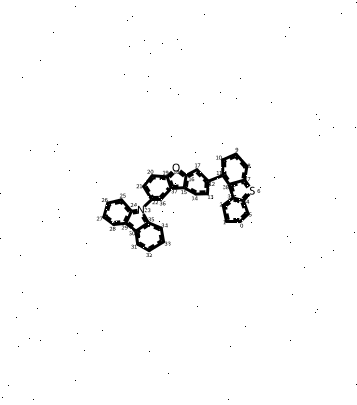 c1ccc2c(c1)sc1cccc(-c3ccc4c(c3)oc3ccc(-n5c6ccccc6c6ccccc65)cc34)c12